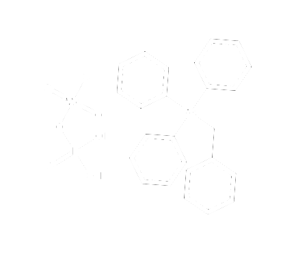 O=P(O)(O)[O][Mo](=[O])(=[O])[O-].c1ccc(C[As+](c2ccccc2)(c2ccccc2)c2ccccc2)cc1